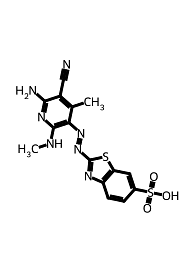 CNc1nc(N)c(C#N)c(C)c1N=Nc1nc2ccc(S(=O)(=O)O)cc2s1